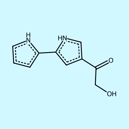 O=C(CO)c1c[nH]c(-c2ccc[nH]2)c1